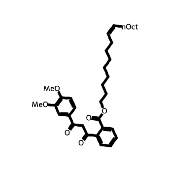 CCCCCCCC/C=C\CCCCCCCCOC(=O)c1ccccc1C(=O)CC(=O)c1ccc(OC)c(OC)c1